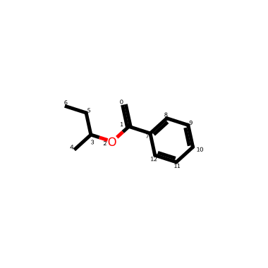 C=C(OC(C)CC)c1ccccc1